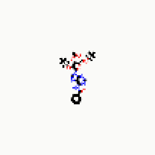 CC(=O)O[C@H]1[C@@H](O[Si](C)(C)C(C)(C)C)[C@H](n2cnc3c(NC(=O)c4ccccc4)ncnc32)O[C@@H]1CO[Si](C)(C)C(C)(C)C